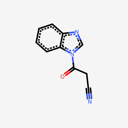 N#CCC(=O)n1cnc2ccccc21